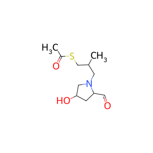 CC(=O)SCC(C)CN1CC(O)CC1C=O